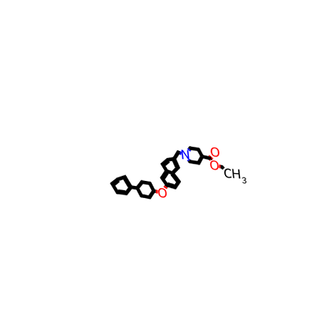 CCOC(=O)C1CCN(Cc2ccc3cc(OC4CCC(c5ccccc5)CC4)ccc3c2)CC1